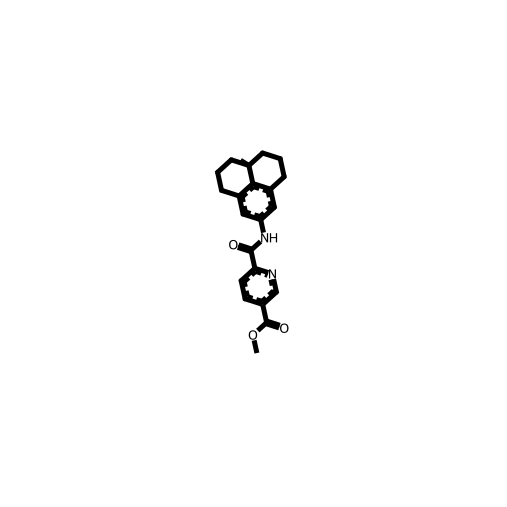 COC(=O)c1ccc(C(=O)Nc2cc3c4c(c2)CCCC4(C)CCC3)nc1